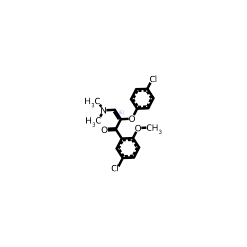 COc1ccc(Cl)cc1C(=O)/C(=C\N(C)C)Oc1ccc(Cl)cc1